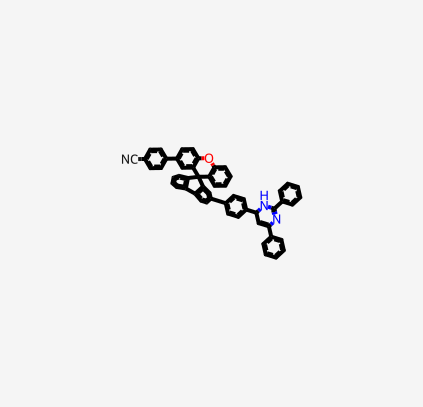 N#Cc1ccc(-c2ccc3c(c2)C2(c4ccccc4O3)c3ccccc3-c3ccc(-c4ccc(C5C=C(c6ccccc6)N=C(c6ccccc6)N5)cc4)cc32)cc1